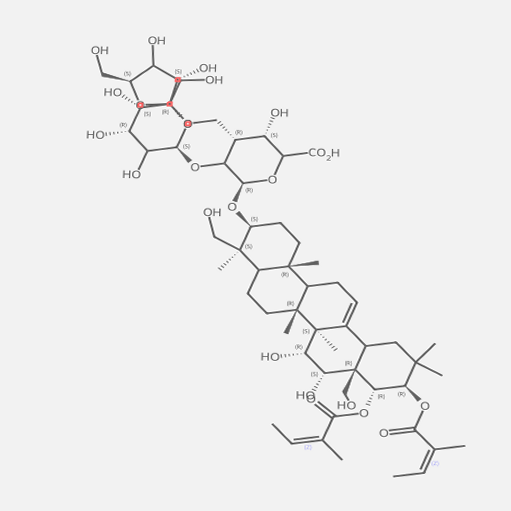 C/C=C(/C)C(=O)O[C@H]1[C@H](OC(=O)/C(C)=C\C)[C@@]2(CO)C(CC1(C)C)C1=CCC3[C@@]4(C)CC[C@H](O[C@@H]5OC(C(=O)O)[C@@H](O)[C@@H](CO[C@@H]6O[C@@H](CO)C(O)[C@@H]6O)C5O[C@@H]5OC(CO)[C@@H](O)[C@@H](O)C5O)[C@](C)(CO)C4CC[C@@]3(C)[C@]1(C)[C@@H](O)[C@H]2O